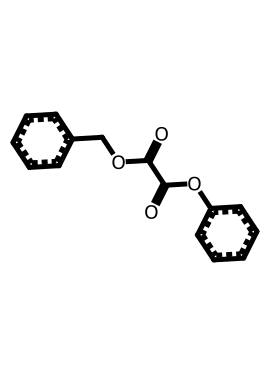 O=C(OCc1ccccc1)C(=O)Oc1ccccc1